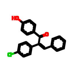 O=C(C(=Cc1ccccc1)c1ccc(Cl)cc1)c1ccc(O)cc1